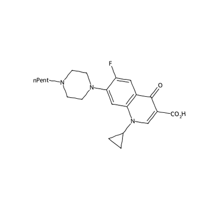 CCCCCN1CCN(c2cc3c(cc2F)c(=O)c(C(=O)O)cn3C2CC2)CC1